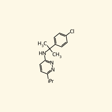 CC(C)c1ccc(NC(C)(C)c2ccc(Cl)cc2)nn1